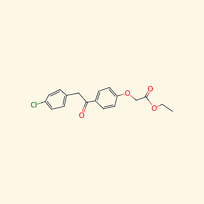 CCOC(=O)COc1ccc(C(=O)Cc2ccc(Cl)cc2)cc1